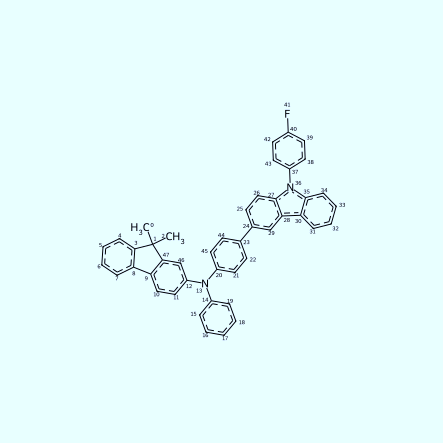 CC1(C)c2ccccc2-c2ccc(N(c3ccccc3)c3ccc(-c4ccc5c(c4)c4ccccc4n5-c4ccc(F)cc4)cc3)cc21